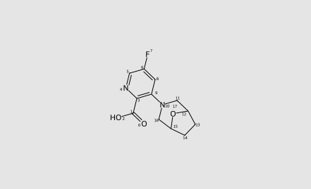 O=C(O)c1ncc(F)cc1N1CC2CCC(C1)O2